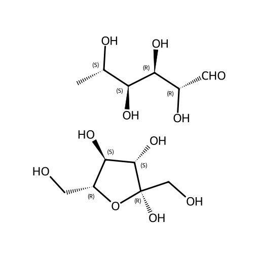 C[C@H](O)[C@H](O)[C@@H](O)[C@@H](O)C=O.OC[C@H]1O[C@](O)(CO)[C@@H](O)[C@@H]1O